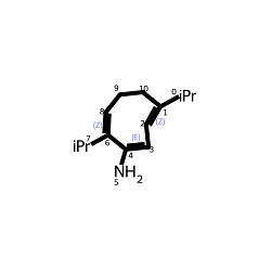 CC(C)\C1=C/C=C(N)\C(C(C)C)=C/CC1